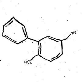 [CH2]CCc1ccc(O)c(-c2ccccc2)c1